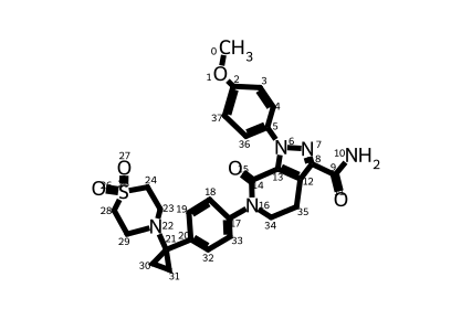 COc1ccc(-n2nc(C(N)=O)c3c2C(=O)N(c2ccc(C4(N5CCS(=O)(=O)CC5)CC4)cc2)CC3)cc1